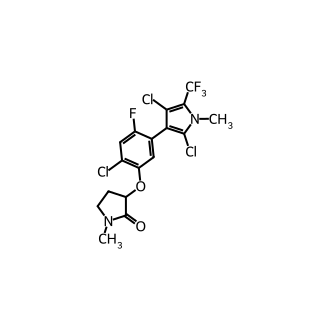 CN1CCC(Oc2cc(-c3c(Cl)c(C(F)(F)F)n(C)c3Cl)c(F)cc2Cl)C1=O